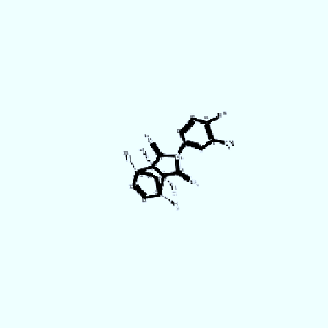 N#Cc1cc(N2C(=O)[C@@H]3[C@H](C2=O)[C@@H]2C=C[C@H]3CC2)ccc1F